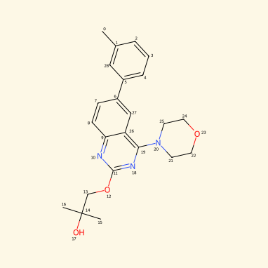 Cc1cccc(-c2ccc3nc(OCC(C)(C)O)nc(N4CCOCC4)c3c2)c1